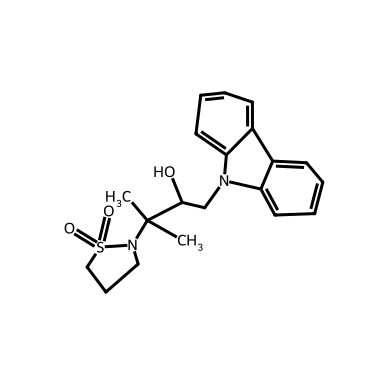 CC(C)(C(O)Cn1c2ccccc2c2ccccc21)N1CCCS1(=O)=O